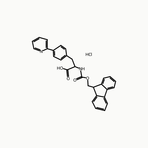 Cl.O=C(NC(Cc1ccc(-c2ccccn2)cc1)C(=O)O)OCC1c2ccccc2-c2ccccc21